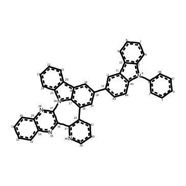 c1ccc(-n2c3ccccc3c3cc(-c4cc5c6c(c4)c4ccccc4n6-c4nc6ccccc6nc4-c4ncccc4-5)ccc32)cc1